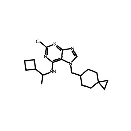 CC(Nc1nc(Cl)nc2ncn(CC3CCC4(CC3)CC4)c12)C1CCC1